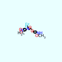 CC(=O)Nc1ccc(OCC2CN(c3ccc([N+](=O)[O-])c(C)c3)C(C(F)(F)F)O2)cc1